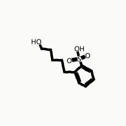 O=S(=O)(O)c1ccccc1CCCCCO